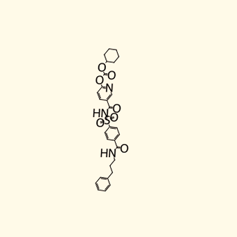 O=C(Oc1ccc(C(=O)NS(=O)(=O)c2ccc(C(=O)NCCCc3ccccc3)cc2)cn1)OC1CCCCC1